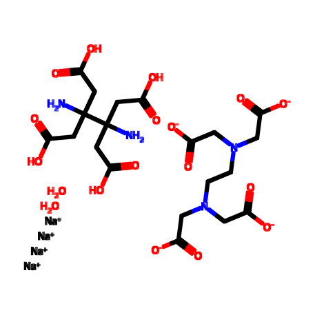 NC(CC(=O)O)(CC(=O)O)C(N)(CC(=O)O)CC(=O)O.O.O.O=C([O-])CN(CCN(CC(=O)[O-])CC(=O)[O-])CC(=O)[O-].[Na+].[Na+].[Na+].[Na+]